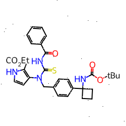 CCOC(=O)c1[nH]ccc1N(Cc1ccc(C2(NC(=O)OC(C)(C)C)CCC2)cc1)C(=S)NC(=O)c1ccccc1